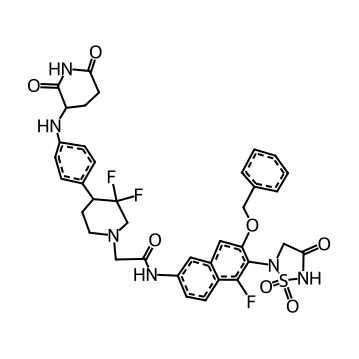 O=C1CCC(Nc2ccc(C3CCN(CC(=O)Nc4ccc5c(F)c(N6CC(=O)NS6(=O)=O)c(OCc6ccccc6)cc5c4)CC3(F)F)cc2)C(=O)N1